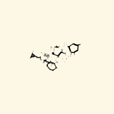 CCc1ccc(Nc2ncnc(O[C@H]3CC4CCC3N4c3nc(C4CC4)no3)c2OC)c(F)c1